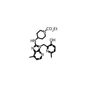 CCOC(=O)N1CCC(Nc2nc3c(C)ccnc3n2Cc2nc(C)ccc2O)CC1